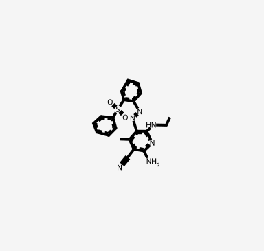 CCNc1nc(N)c(C#N)c(C)c1N=Nc1ccccc1S(=O)(=O)c1ccccc1